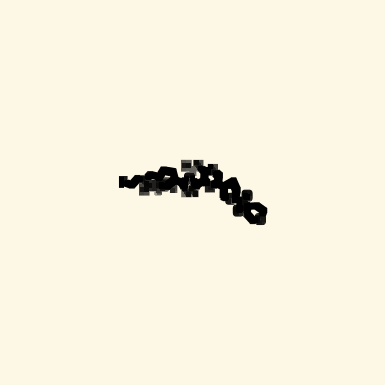 C=C(/C=C\C(=C/C)c1nnc(-c2nc(-c3ccc(S(=O)(=O)C4CCOCC4)cc3)cnc2N)o1)CNCCF